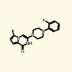 Cc1ccc2c(=O)[nH]c(N3CCN(c4ccccc4F)CC3)cn12